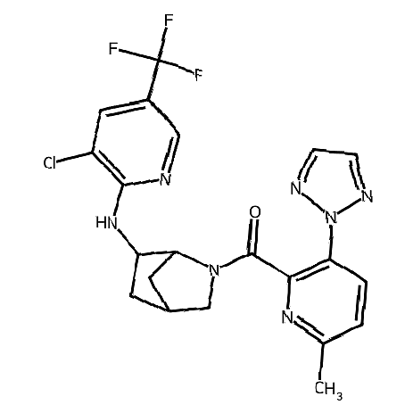 Cc1ccc(-n2nccn2)c(C(=O)N2CC3CC(Nc4ncc(C(F)(F)F)cc4Cl)C2C3)n1